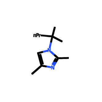 CCCC(C)(C)n1cc(C)nc1C